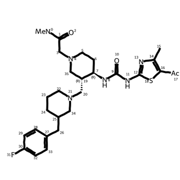 CNC(=O)CN1CC[C@@H](NC(=O)Nc2nc(C)c(C(C)=O)s2)[C@H](CN2CCCC(Cc3ccc(F)cc3)C2)C1